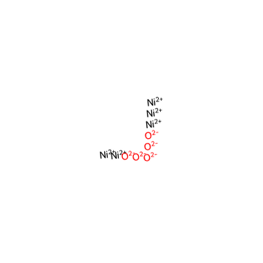 [Ni+2].[Ni+2].[Ni+2].[Ni+2].[Ni+2].[O-2].[O-2].[O-2].[O-2].[O-2]